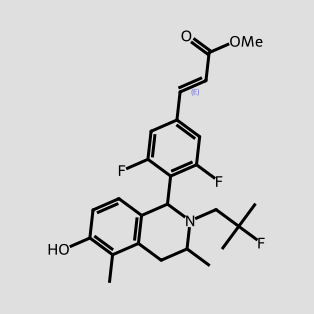 COC(=O)/C=C/c1cc(F)c(C2c3ccc(O)c(C)c3CC(C)N2CC(C)(C)F)c(F)c1